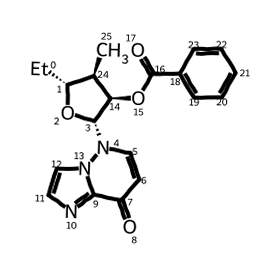 CC[C@H]1O[C@@H](n2ccc(=O)c3nccn32)[C@H](OC(=O)c2ccccc2)[C@@H]1C